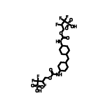 O=C(NC1CCC(CC2CCC(NC(=O)OCC(F)C(F)(F)S(=O)(=O)O)CC2)CC1)OCC(F)C(F)(F)S(=O)(=O)O